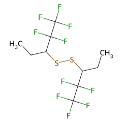 CCC(SSC(CC)C(F)(F)C(F)(F)F)C(F)(F)C(F)(F)F